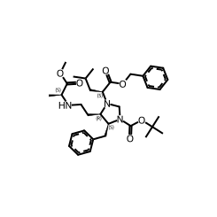 COC(=O)[C@H](C)NCC[C@@H]1[C@H](Cc2ccccc2)N(C(=O)OC(C)(C)C)CN1[C@@H](CC(C)C)C(=O)OCc1ccccc1